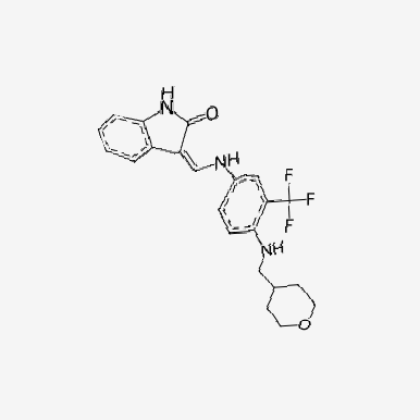 O=C1Nc2ccccc2C1=CNc1ccc(NCC2CCOCC2)c(C(F)(F)F)c1